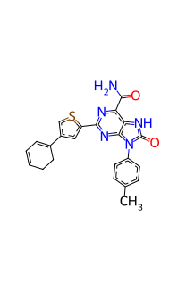 Cc1ccc(-n2c(=O)[nH]c3c(C(N)=O)nc(-c4cc(C5=CC=CCC5)cs4)nc32)cc1